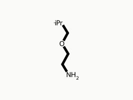 C[C](C)COCCN